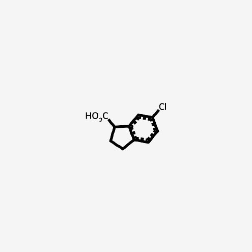 O=C(O)C1CCc2ccc(Cl)cc21